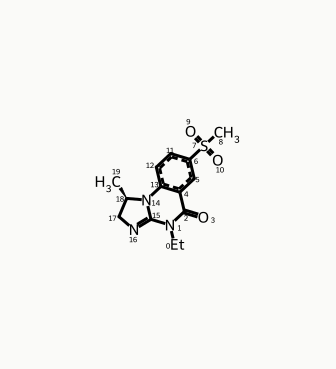 CCN1C(=O)c2cc(S(C)(=O)=O)ccc2N2C1=NC[C@H]2C